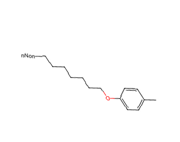 CCCCCCCCCCCCCCCCOc1ccc(C)cc1